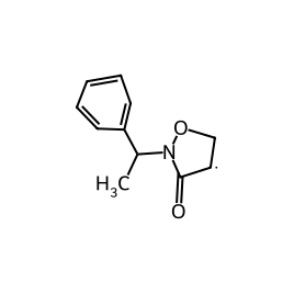 CC(c1ccccc1)N1OC[CH]C1=O